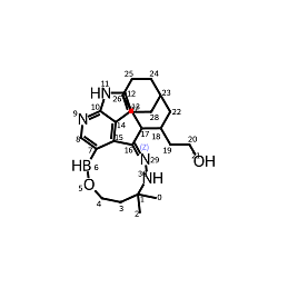 CC1(C)CCOBc2cnc3[nH]ccc3c2/C(C2C(CCO)CC3CCCC2C3)=N\N1